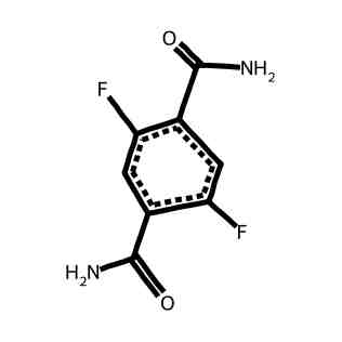 NC(=O)c1cc(F)c(C(N)=O)cc1F